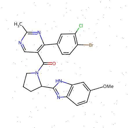 COc1ccc2nc(C3CCCN3C(=O)c3cnc(C)nc3-c3ccc(Br)c(Cl)c3)[nH]c2c1